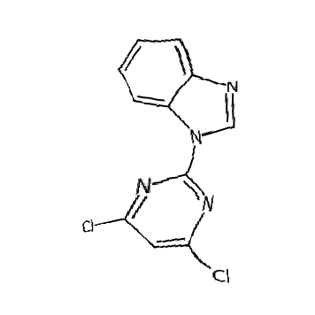 Clc1cc(Cl)nc(-n2cnc3ccccc32)n1